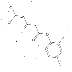 Cc1ccc(OC(=O)CC(=O)C=C(Cl)Cl)c(C)c1